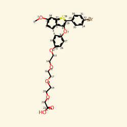 COc1ccc2c(Oc3ccc(OCCOCCOCCOCC(=O)O)cc3)c(-c3ccc(Br)cc3)sc2c1